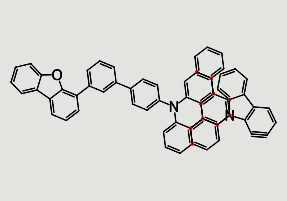 c1ccc2c3ccccc3n(-c3ccccc3-c3ccccc3N(c3ccc(-c4cccc(-c5cccc6c5oc5ccccc56)c4)cc3)c3ccccc3-c3cccc(-c4ccccc4)c3)c2c#1